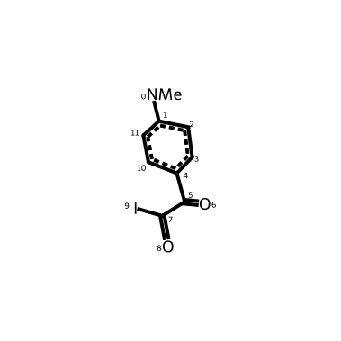 CNc1ccc(C(=O)C(=O)I)cc1